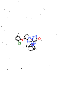 COc1cc(N2C[C@H]3CC[C@@H](C2)C3Nc2nc3n(n2)CCC[C@H]3Oc2ccccc2Cl)cnn1